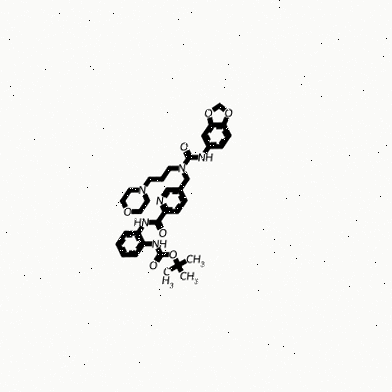 CC(C)(C)OC(=O)Nc1ccccc1NC(=O)c1ccc(CN(CCCN2CCOCC2)C(=O)Nc2ccc3c(c2)OCO3)cn1